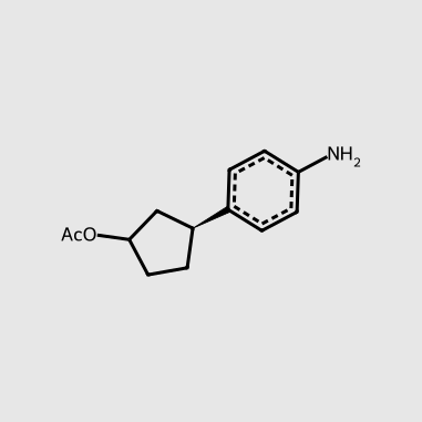 CC(=O)OC1CC[C@H](c2ccc(N)cc2)C1